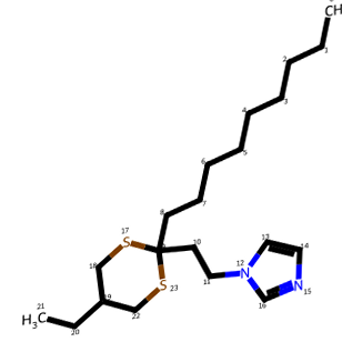 CCCCCCCCCC1(CCn2ccnc2)SCC(CC)CS1